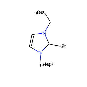 CCCCCCCCCCCN1C=CN(CCCCCCC)C1C(C)C